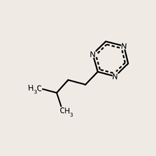 CC(C)CCc1ncncn1